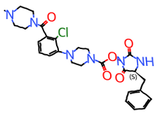 CN1CCN(C(=O)c2cccc(N3CCN(C(=O)ON4C(=O)N[C@@H](Cc5ccccc5)C4=O)CC3)c2Cl)CC1